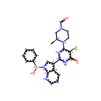 C[C@H]1CN(C=O)CCN1c1nc(-c2cn([S+]([O-])c3ccccc3)c3ncccc23)[nH]c(=O)c1Cl